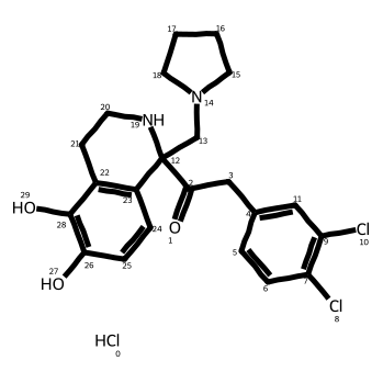 Cl.O=C(Cc1ccc(Cl)c(Cl)c1)C1(CN2CCCC2)NCCc2c1ccc(O)c2O